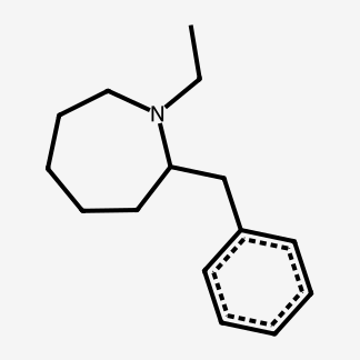 CCN1CCCCCC1Cc1ccccc1